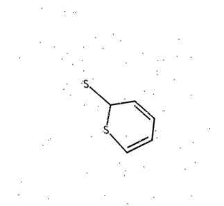 [S]C1C=CC=CS1